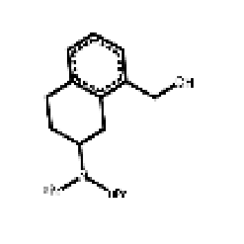 CCCN(CCC)C1CCc2cccc(CO)c2C1